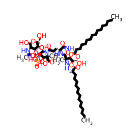 CCCCCCCCCCCCCCCC(=O)OC([C@H](CO)OC(=O)CCCCCCCCCCCCCCC)[C@@](C)(N)C(=O)N[C@H](CCC(=O)N(CC(C)O[C@H]1[C@H](O)[C@@H](CO)O[C@H](O)[C@@H]1NC(C)=O)[C@@](C)(C(=O)O)C(CN)O[PH](=O)O)C(N)=O